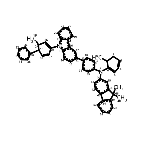 CC1CC=CC=C1N(c1ccc(-c2ccc3c(c2)c2ccccc2n3C2=CC(C)C(c3ccccc3)C=C2)cc1)c1ccc2c(c1)C(C)(C)c1ccccc1-2